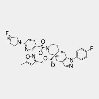 Cc1cc(COC(=O)[C@]23Cc4cnn(-c5ccc(F)cc5)c4C=C2CCN(S(=O)(=O)c2ccc(N4CC[C@@H](F)C4)nc2)C3)no1